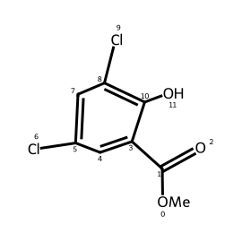 COC(=O)c1cc(Cl)cc(Cl)c1O